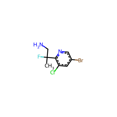 CC(F)(CN)c1ncc(Br)cc1Cl